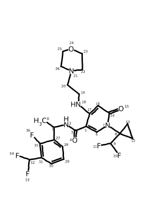 CC(NC(=O)c1cn(C2(C(F)F)CC2)c(=O)cc1NCCN1CCOCC1)c1cccc(C(F)F)c1F